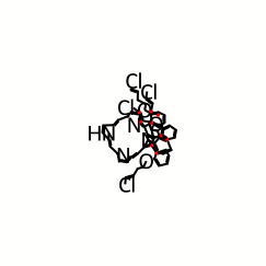 ClC=CCCOc1ccccc1-c1c(-c2ccccc2OCCC=CCl)c2c(-c3ccccc3OCCC=CCl)c3nc(cc4ccc(cc5nc(cc1n2-c1ccccc1OCCC=CCl)C=C5)[nH]4)C=C3